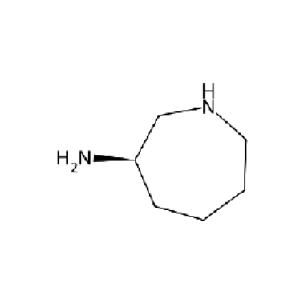 N[C@@H]1CCCCNC1